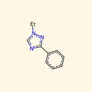 CCn1cnc(-c2ccccc2)n1